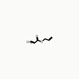 C.C=CCOC(=O)C=C